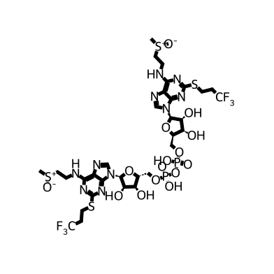 C[S+]([O-])CCNc1nc(SCCC(F)(F)F)nc2c1ncn2[C@@H]1O[C@H](COP(=O)(O)OP(=O)(O)OC[C@H]2O[C@@H](n3cnc4c(NCC[S+](C)[O-])nc(SCCC(F)(F)F)nc43)[C@H](O)[C@@H]2O)[C@@H](O)[C@H]1O